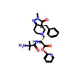 CN1N=C2CCN(C[C@@H](NC(=O)C(C)(C)N)C(=O)Oc3ccccn3)C[C@@]2(Cc2ccccc2)C1=O